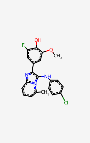 COc1cc(-c2nc3cccc(C)n3c2Nc2ccc(Cl)cc2)cc(F)c1O